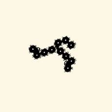 c1ccc(-c2cccc(-c3cccc(N(c4ccc(-c5ccc(-c6cccc7c6oc6ccccc67)cc5)cc4)c4ccc(-c5ccc(-c6cccc7c6oc6ccccc67)cc5)cc4)c3)c2)cc1